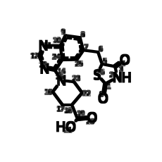 O=C1NC(=O)C(Cc2ccc3ncnc(N4CCC(C(=O)O)CC4)c3c2)S1